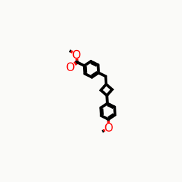 COC(=O)c1ccc(CC2CC(c3ccc(OC)cc3)C2)cc1